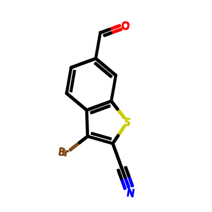 N#Cc1sc2cc(C=O)ccc2c1Br